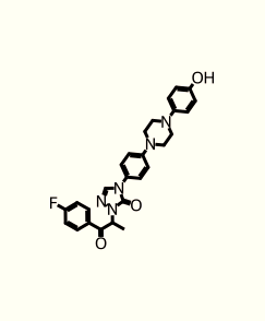 CC(C(=O)c1ccc(F)cc1)n1ncn(-c2ccc(N3CCN(c4ccc(O)cc4)CC3)cc2)c1=O